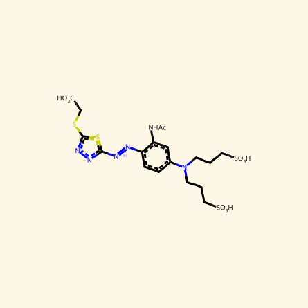 CC(=O)Nc1cc(N(CCCS(=O)(=O)O)CCCS(=O)(=O)O)ccc1/N=N/c1nnc(SCC(=O)O)s1